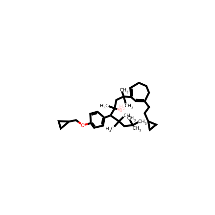 BC(C)(CC(C)(C)C1=CCCCC(CCC2CC2)=C1)C(c1ccc(OCC2CC2)cc1)C(C)(C)CC(C)(C)C